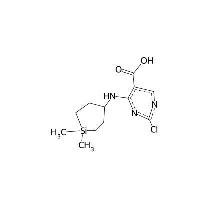 C[Si]1(C)CCC(Nc2nc(Cl)ncc2C(=O)O)CC1